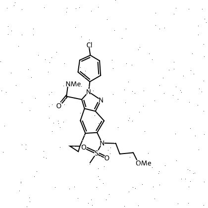 CNC(=O)c1c2cc(C3CC3)c(N(CCCOC)S(C)(=O)=O)cc2nn1-c1ccc(Cl)cc1